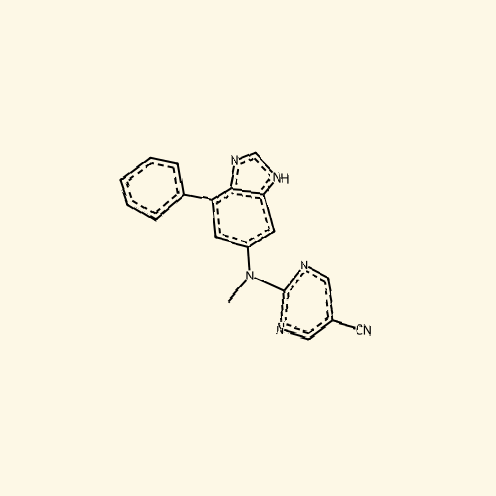 CN(c1cc(-c2ccccc2)c2nc[nH]c2c1)c1ncc(C#N)cn1